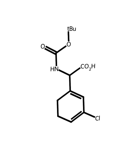 CC(C)(C)OC(=O)NC(C(=O)O)C1=CC(Cl)=CCC1